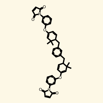 CC1(C)C=C(Oc2cccc(N3C(=O)C=CC3=O)c2)C=CC1Cc1cccc(CC2C=CC(Oc3cccc(N4C(=O)C=CC4=O)c3)=CC2(C)C)c1